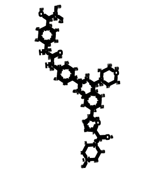 CN1CCN(C(=O)c2ccc(-c3ccc4c(N5CCOCC5)nc(-c5ccc(NC(=O)Nc6ccc(C(=O)N(C)C)cc6)cc5)nc4c3)o2)CC1